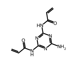 C=CC(=O)Nc1nc(N)nc(NC(=O)C=C)n1